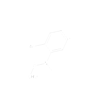 CC(=O)c1ccccc1N(C)OC=O